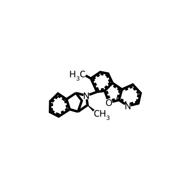 Cc1ccc2c(oc3ncccc32)c1N1C2CC(c3ccccc32)[C@@H]1C